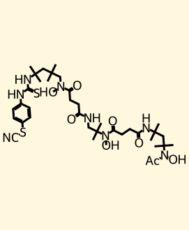 CC(=O)N(O)C(C)(C)CC(C)(C)NC(=O)CCC(=O)N(O)C(C)(C)CNC(=O)CCC(=O)N(O)CC(C)(C)CC(C)(C)NC(=S)Nc1ccc(SC#N)cc1